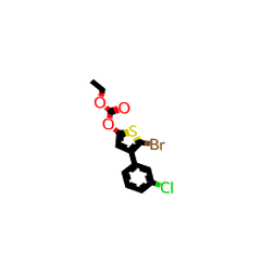 CCOC(=O)Oc1cc(-c2cccc(Cl)c2)c(Br)s1